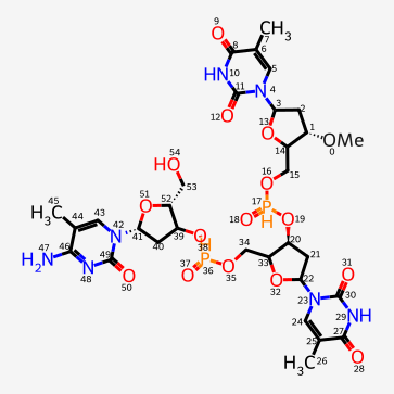 CO[C@H]1CC(n2cc(C)c(=O)[nH]c2=O)OC1CO[PH](=O)O[C@H]1CC(n2cc(C)c(=O)[nH]c2=O)OC1CO[PH](=O)OC1C[C@H](n2cc(C)c(N)nc2=O)O[C@@H]1CO